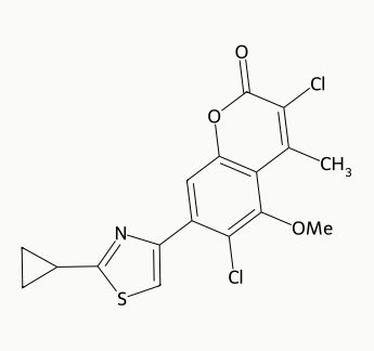 COc1c(Cl)c(-c2csc(C3CC3)n2)cc2oc(=O)c(Cl)c(C)c12